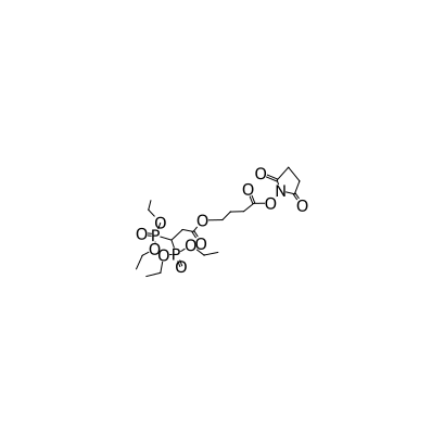 CCOP(=O)(OCC)C(CC(=O)OCCCC(=O)ON1C(=O)CCC1=O)P(=O)(OCC)OCC